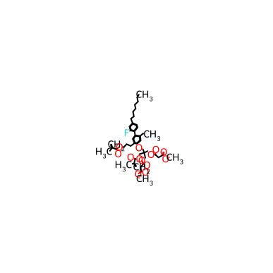 C=C(C)C(=O)OCCCc1cc(-c2ccc(CCCCCCCC)cc2F)c(CC)cc1OCC(COC(=O)CC(=O)OC)(COC(=O)CC(=O)OC)COC(=O)C(=C)C